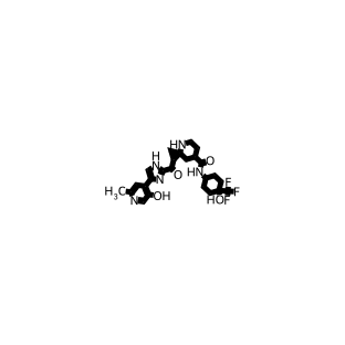 Cc1cc(-c2c[nH]c(C(=O)C3CC34CC(C(=O)NC3CCC(O)(C(F)(F)F)CC3)CCN4)n2)c(O)cn1